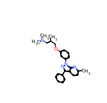 Cc1ccc2c(-c3ccccc3)nn(-c3cccc(OCC(C)CN(C)C)c3)c2n1